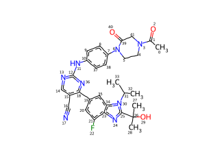 CC(=O)N1CCN(c2ccc(Nc3ncc(C#N)c(-c4cc(F)c5nc(C(C)(C)O)n(C(C)C)c5c4)n3)cc2)C(=O)C1